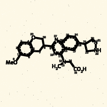 COc1ccc2c(c1)CC(c1nc(N(C)CC(=O)O)c3cc(C4C=NNC4)ccc3n1)CO2